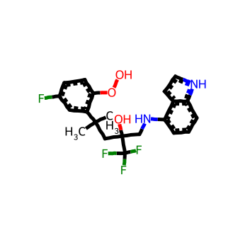 CC(C)(CC(O)(CNc1cccc2[nH]ccc12)C(F)(F)F)c1cc(F)ccc1OO